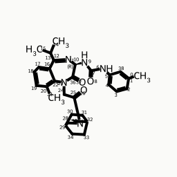 Cc1cccc(NC(=O)N[C@@H]2N=C(C(C)C)c3cccc(C)c3N(CC(=O)N3CC4CCC(CC4)C3)C2=O)c1